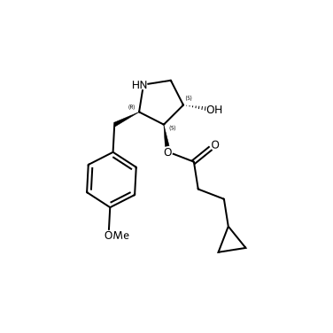 COc1ccc(C[C@H]2NC[C@H](O)[C@H]2OC(=O)CCC2CC2)cc1